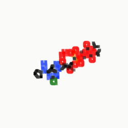 CO[C@H](COP(=O)(CP(=O)(O)OCOC(=O)OC(C)C)OCOC(=O)OC(C)C)[C@@H](O)Cn1ncc2c(NC3CCCC3)nc(Cl)nc21